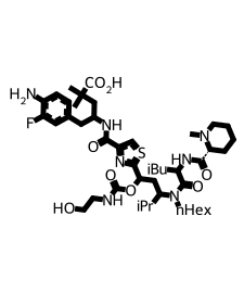 CCCCCCN(C(=O)C(NC(=O)[C@H]1CCCCN1C)C(C)CC)C(CC(OC(=O)NCCO)c1nc(C(=O)NC(Cc2ccc(N)c(F)c2)CC(C)(C)C(=O)O)cs1)C(C)C